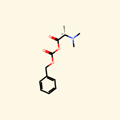 C[C@@H](C(=O)OC(=O)OCc1ccccc1)N(C)C